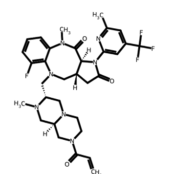 C=CC(=O)N1CCN2C[C@@H](CN3C[C@H]4CC(=O)N(c5cc(C(F)(F)F)cc(C)n5)[C@@H]4C(=O)N(C)c4cccc(F)c43)N(C)C[C@@H]2C1